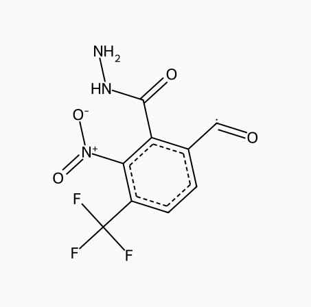 NNC(=O)c1c([C]=O)ccc(C(F)(F)F)c1[N+](=O)[O-]